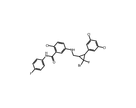 O=C(Nc1ccc(F)cc1)c1cc(NCC2C(c3cc(Cl)cc(Cl)c3)C2(F)Br)ccc1Cl